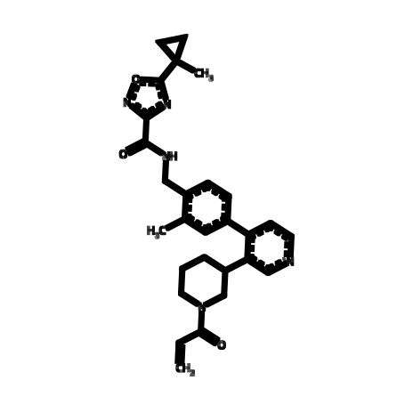 C=CC(=O)N1CCCC(c2cnccc2-c2ccc(CNC(=O)c3noc(C4(C)CC4)n3)c(C)c2)C1